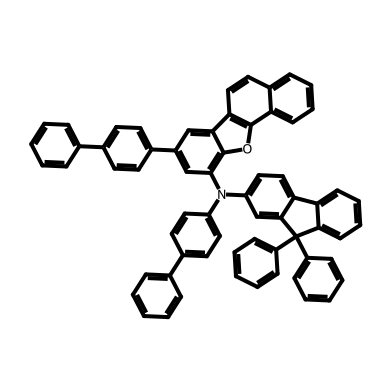 c1ccc(-c2ccc(-c3cc(N(c4ccc(-c5ccccc5)cc4)c4ccc5c(c4)C(c4ccccc4)(c4ccccc4)c4ccccc4-5)c4oc5c6ccccc6ccc5c4c3)cc2)cc1